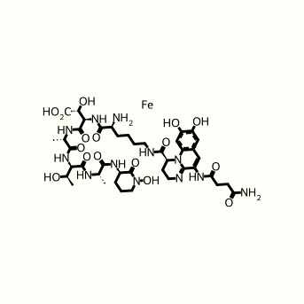 C[C@H](NC(=O)[C@H](NC(=O)[C@H](C)NC(=O)[C@H](NC(=O)[C@@H](N)CCCCNC(=O)[C@@H]1CCN=C2C(NC(=O)CCC(N)=O)=Cc3cc(O)c(O)cc3N21)[C@@H](O)C(=O)O)[C@@H](C)O)C(=O)N[C@@H]1CCCN(O)C1=O.[Fe]